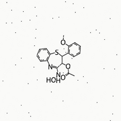 COc1ccccc1C1Sc2ccccc2N=C(NO)C1OC(C)=O